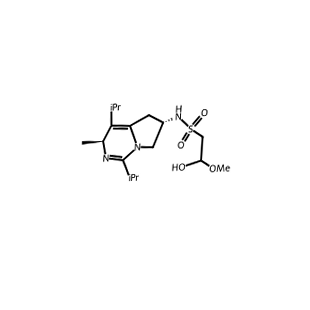 COC(O)CS(=O)(=O)N[C@H]1CC2=C(C(C)C)[C@H](C)N=C(C(C)C)N2C1